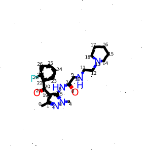 Cc1nn(C)c(NC(=O)CNCCN2CCCCC2)c1C(=O)c1ccccc1F